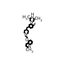 Cc1ccc2c(OCCN3CCC(Cc4ccc(F)c(N5C[C@@H](C)N[C@@H](C)C5)c4)CC3)cccc2n1